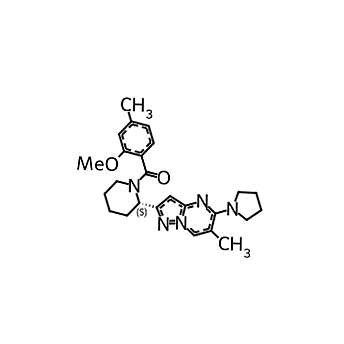 COc1cc(C)ccc1C(=O)N1CCCC[C@H]1c1cc2nc(N3CCCC3)c(C)cn2n1